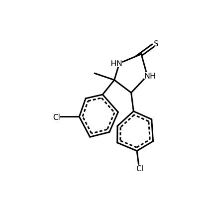 CC1(c2cccc(Cl)c2)NC(=S)NC1c1ccc(Cl)cc1